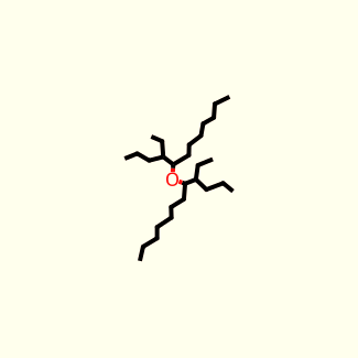 CCCCCCCC(OC(CCCCCCC)C(CC)CCC)C(CC)CCC